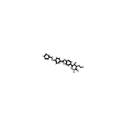 CCCC1C(=O)NN=C(c2ccc3nc(-c4ccc(OCc5ccccc5)cc4)oc3c2)C1C